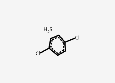 Clc1ccc(Cl)cc1.S